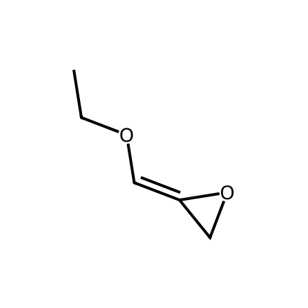 CCOC=C1CO1